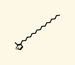 CCCCCCCCCCCCCCCCC1=C(C)[N]C=C1